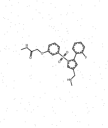 CNCc1cc(-c2ccccc2F)n(S(=O)(=O)c2cccc(OCC(=O)NC)c2)c1